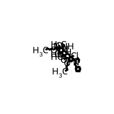 CCCCOc1cc(C2CCCN2Cc2ccccc2)c(Cl)c2c1C(=O)C1=C(O)[C@]3(O)C(=O)c4c(OCCCC)noc4[C@@H](NC)[C@@H]3C[C@@H]1C2